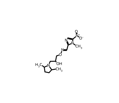 CC1CCC(C)N1CC(O)CON=Cc1ncc([N+](=O)[O-])n1C